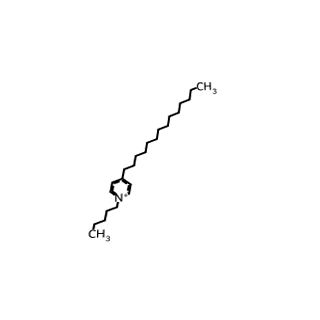 CCCCCCCCCCCCCCc1cc[n+](CCCCC)cc1